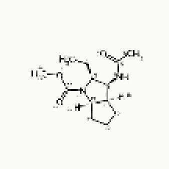 CC[C@H]1[C@@H](NC(C)=O)[C@H]2CCC[C@H]2N1C(=O)OC